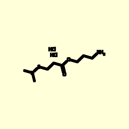 CN(C)SCCC(=O)OCCCN.Cl.Cl